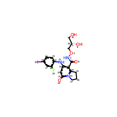 O=C(NOC[C@@H](O)CO)c1c(Nc2ccc(I)cc2F)cc(=O)n2c1CCC2